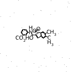 Cc1cc2c(cc1C)S(=O)(=O)C(C(=O)Nc1ccccc1C(=O)O)=C2